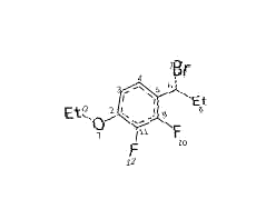 CCOc1ccc(C(Br)CC)c(F)c1F